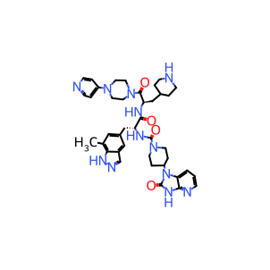 Cc1cc(C[C@@H](NC(=O)N2CCC(n3c(=O)[nH]c4ncccc43)CC2)C(=O)N[C@H](CC2CCNCC2)C(=O)N2CCN(c3ccncc3)CC2)cc2cn[nH]c12